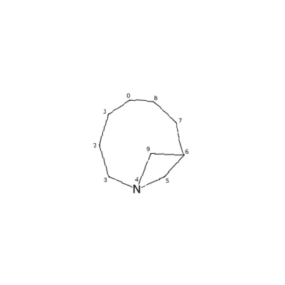 C1CCCN2CC(CC1)C2